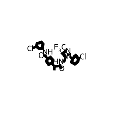 CC(C(=O)NCc1cc(C(F)(F)F)nn1-c1cccc(Cl)c1)c1ccc(C(=O)Nc2cccc(Cl)c2)cc1